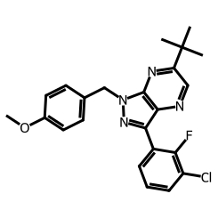 COc1ccc(Cn2nc(-c3cccc(Cl)c3F)c3ncc(C(C)(C)C)nc32)cc1